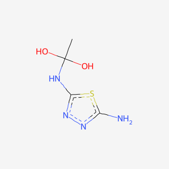 CC(O)(O)Nc1nnc(N)s1